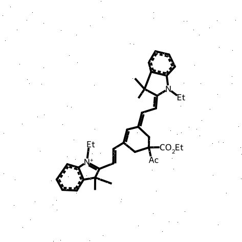 CCOC(=O)C1(C(C)=O)CC(/C=C/C2=[N+](CC)c3ccccc3C2(C)C)=CC(=C/C=C2/N(CC)c3ccccc3C2(C)C)/C1